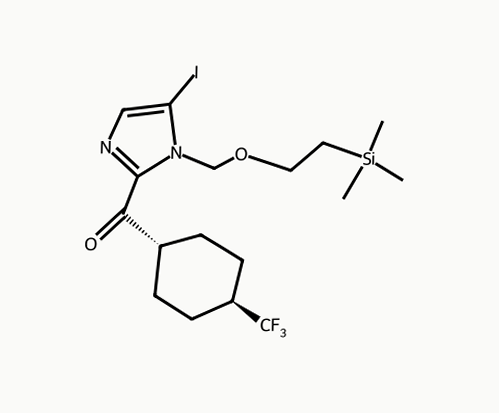 C[Si](C)(C)CCOCn1c(I)cnc1C(=O)[C@H]1CC[C@H](C(F)(F)F)CC1